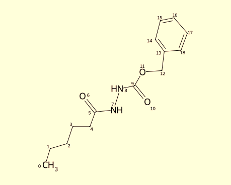 CCCCCC(=O)NNC(=O)OCc1ccccc1